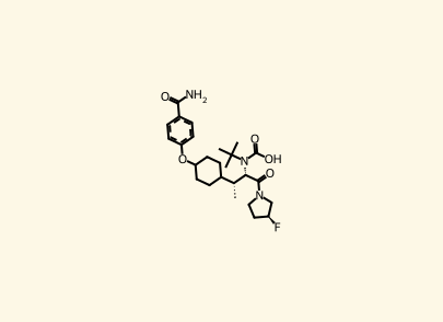 C[C@H](C1CCC(Oc2ccc(C(N)=O)cc2)CC1)[C@@H](C(=O)N1CC[C@H](F)C1)N(C(=O)O)C(C)(C)C